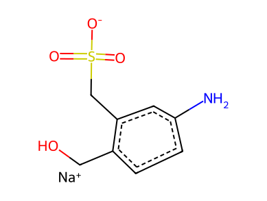 Nc1ccc(CO)c(CS(=O)(=O)[O-])c1.[Na+]